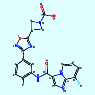 Cc1ccc(-c2noc(C3CN(C(=O)O)C3)n2)cc1NC(=O)c1cnc2c(F)cccn12